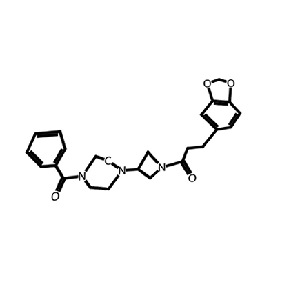 O=C(CCc1ccc2c(c1)OCO2)N1CC(N2CCN(C(=O)c3ccccc3)CC2)C1